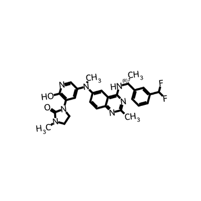 Cc1nc(N[C@H](C)c2cccc(C(F)F)c2)c2cc(N(C)c3cnc(O)c(N4CCN(C)C4=O)c3)ccc2n1